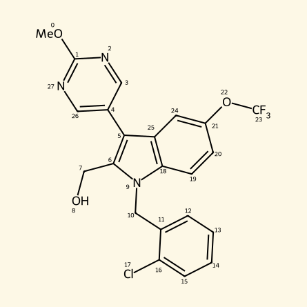 COc1ncc(-c2c(CO)n(Cc3ccccc3Cl)c3ccc(OC(F)(F)F)cc23)cn1